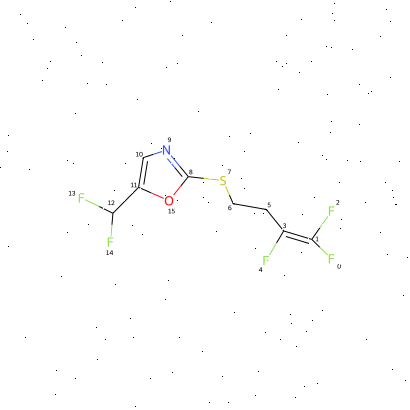 FC(F)=C(F)CCSc1ncc(C(F)F)o1